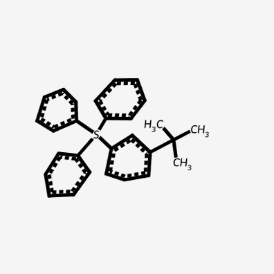 CC(C)(C)c1cccc(S(c2ccccc2)(c2ccccc2)c2ccccc2)c1